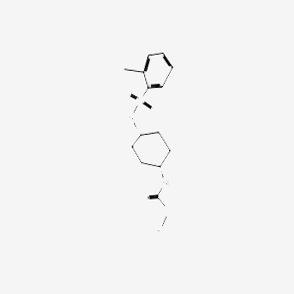 CC(C)(C)OC(=O)N[C@H]1CC[C@@H](NS(=O)(=O)c2ccccc2Br)CC1